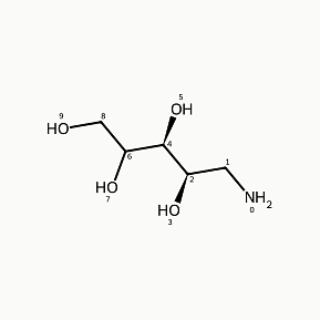 NC[C@@H](O)[C@H](O)C(O)CO